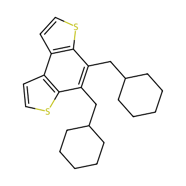 c1cc2c(s1)c(CC1CCCCC1)c(CC1CCCCC1)c1sccc12